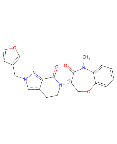 CN1C(=O)[C@@H](N2CCc3cn(Cc4ccoc4)nc3C2=O)COc2ccccc21